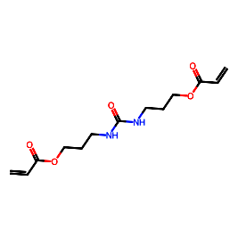 C=CC(=O)OCCCNC(=O)NCCCOC(=O)C=C